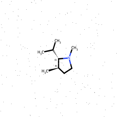 CC(C)[C@H]1[C@H](C)CCN1C